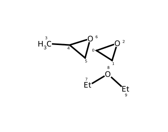 C1CO1.CC1CO1.CCOCC